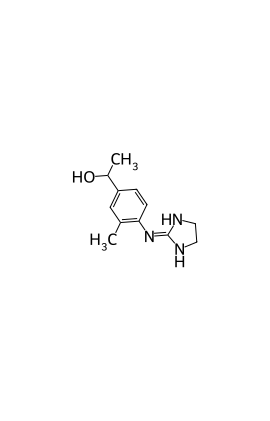 Cc1cc(C(C)O)ccc1N=C1NCCN1